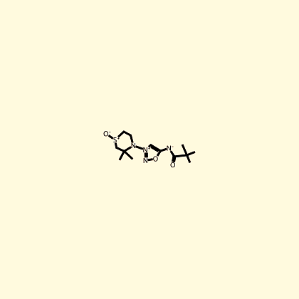 CC(C)(C)C(=O)[N-]c1c[n+](N2CC[S+]([O-])CC2(C)C)no1